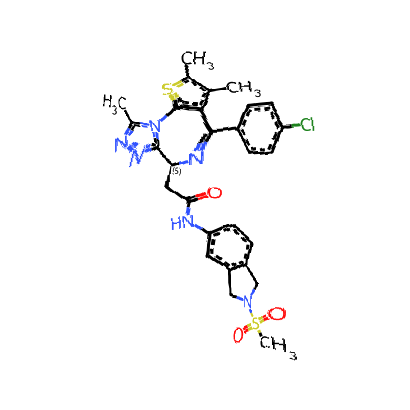 Cc1sc2c(c1C)C(c1ccc(Cl)cc1)=N[C@@H](CC(=O)Nc1ccc3c(c1)CN(S(C)(=O)=O)C3)c1nnc(C)n1-2